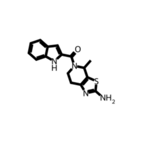 CC1c2sc(N)nc2CCN1C(=O)c1cc2ccccc2[nH]1